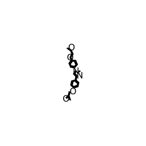 c1cc(-c2cn(-c3ccc(OCC4CO4)cc3)cn2)ccc1OCC1CO1